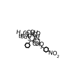 C[C@@H](O[Si](C)(C)C(C)(C)C)[C@H]1C(=O)N(CC(=O)OCc2ccc([N+](=O)[O-])cc2)[C@@H]1[C@@H](C)C(=S)c1ccccc1